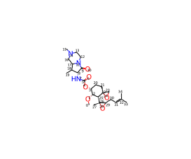 CO[C@@H]1[C@H](OC(=O)N[C@H]2C(=O)N3CCN(C)CC3C2C)CC[C@]2(CO2)[C@H]1[C@@]1(C)OC1CC=C(C)C